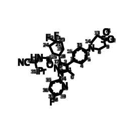 Cc1c(-c2ccc(N3CCS(=O)(=O)CC3)cc2)c([C@@H]2CCC(F)(F)C[C@H]2C(=O)N[C@H](C#N)C(C)C)nn1-c1ccc(F)cn1